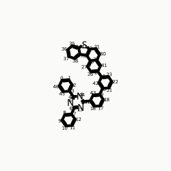 c1ccc(-c2nc(-c3ccccc3)nc(-c3cccc(-c4cccc(-c5ccc6c(ccc7sc8ccccc8c76)c5)c4)c3)n2)cc1